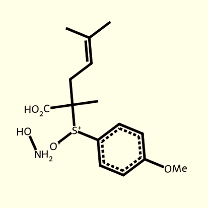 COc1ccc([S+]([O-])C(C)(CC=C(C)C)C(=O)O)cc1.NO